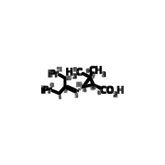 CC(C)CC(=C[C@H]1[C@H](C(=O)O)C1(C)C)CC(C)C